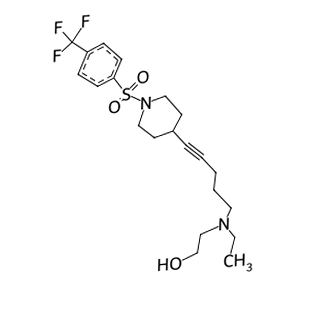 CCN(CCO)CCCC#CC1CCN(S(=O)(=O)c2ccc(C(F)(F)F)cc2)CC1